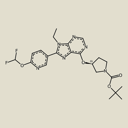 CCn1c(-c2ccc(OC(F)F)nc2)nc2c(O[C@H]3CCN(C(=O)OC(C)(C)C)C3)ncnc21